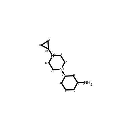 NC1CCC[C@@H](N2CCN(C3CC3)CC2)C1